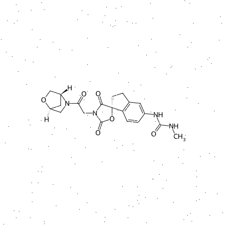 CNC(=O)Nc1ccc2c(c1)CC[C@@]21OC(=O)N(CC(=O)N2C[C@@H]3C[C@@H]2CO3)C1=O